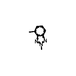 Cc1cccc2nn(C)nc12